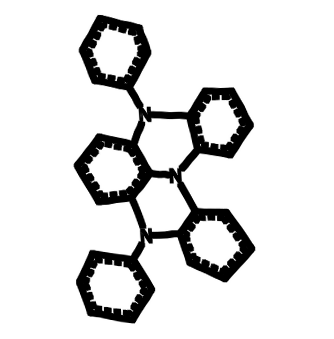 c1ccc(N2c3ccccc3N3c4ccccc4N(c4ccccc4)c4cccc2c43)cc1